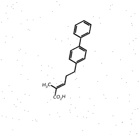 CC(=CCCc1ccc(-c2ccccc2)cc1)C(=O)O